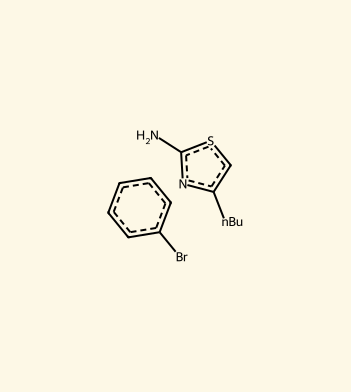 Brc1ccccc1.CCCCc1csc(N)n1